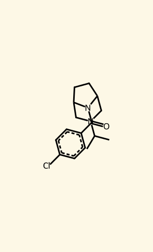 CC(C)N1CC2CCC(C1)N2C(=O)c1ccc(Cl)cc1